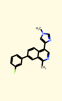 Cc1ncc(-c2cn(C)cn2)c2ccc(-c3cccc(F)c3)cc12